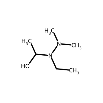 CCN(C(C)O)N(C)C